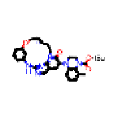 Cc1cccc2c1N(C(=O)OC(C)(C)C)CCN2c1cc2cnc3nc2n(c1=O)CC/C=C/COc1cccc(c1)N3